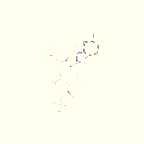 Cc1ccc2nc(C3(C(=O)OC(C)(C)C)CCN(C(=O)OC(C)(C)C)C(N)C3)[nH]c2c1